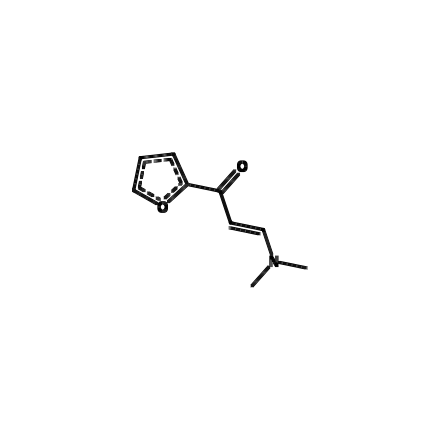 CN(C)/C=C/C(=O)c1ccco1